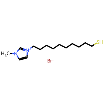 Cn1cc[n+](CCCCCCCCCCS)c1.[Br-]